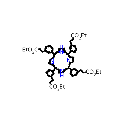 CCOC(=O)CCc1cccc(-c2c3nc(c(-c4cccc(CCC(=O)OCC)c4)c4ccc([nH]4)c(-c4cccc(CCC(=O)OCC)c4)c4nc(c(-c5cccc(CCC(=O)OCC)c5)c5ccc2[nH]5)C=C4)C=C3)c1